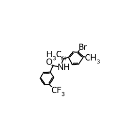 Cc1ccc([C@@H](C)NC(=O)c2cccc(C(F)(F)F)c2)cc1Br